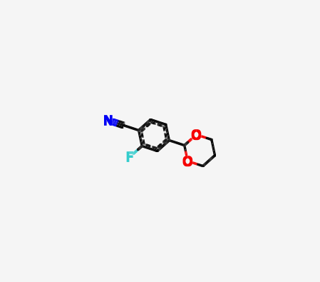 N#Cc1ccc(C2OCCCO2)cc1F